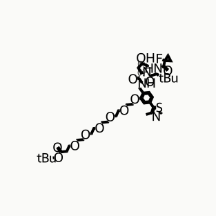 Cc1ncsc1-c1ccc(CNC(=O)[C@@H]2C[C@@H](O)CN2C(=O)C(NC(=O)C2(F)CC2)C(C)(C)C)c(OCCOCCOCCOCCOCCOCCC(=O)OC(C)(C)C)c1